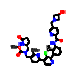 COc1nc(-c2ccnc(-c3cccc(NC(=O)c4ccc(CN5CC(O)C5)cn4)c3C)c2Cl)ccc1CN(C[C@@H]1CCC(=O)N1)C(=O)OC(C)(C)C